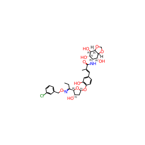 CCC(=NOCc1cccc(Cl)c1)[C@H]1O[C@@H](Oc2ccc(C=C(C)C(=O)N[C@@H]3[C@H](O)[C@@H](O)[C@H]4OCO[C@H]4[C@@H]3O)cc2O)C[C@@H]1O